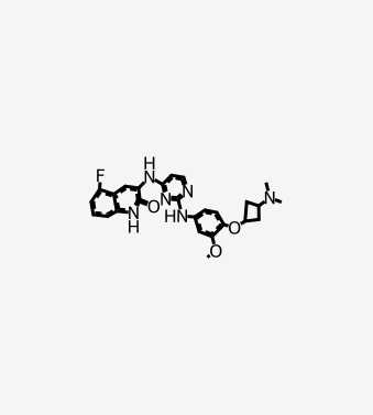 COc1cc(Nc2nccc(Nc3cc4c(F)cccc4[nH]c3=O)n2)ccc1OC1CC(N(C)C)C1